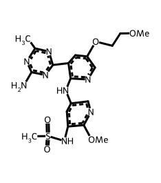 COCCOc1cnc(Nc2cnc(OC)c(NS(C)(=O)=O)c2)c(-c2nc(C)nc(N)n2)c1